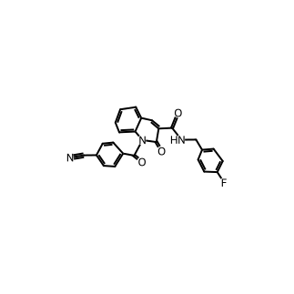 N#Cc1ccc(C(=O)n2c(=O)c(C(=O)NCc3ccc(F)cc3)cc3ccccc32)cc1